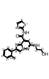 O=C(Nc1nccs1)c1cc(NCCO)nn2cc(-c3ccccc3F)nc12